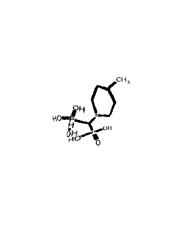 CC1CCN(C(P(=O)(O)O)[PH](O)(O)O)CC1